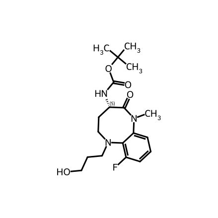 CN1C(=O)[C@@H](NC(=O)OC(C)(C)C)CCN(CCCO)c2c(F)cccc21